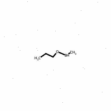 CBOCCC